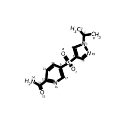 CC(C)n1cc(S(=O)(=O)c2ccc(C(N)=O)nc2)cn1